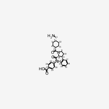 NC[C@H]1CC[C@H](C(=O)N2CC[C@@H](c3ccccc3)[C@H]2C(=O)Nc2ccc(C(=O)O)cc2)CC1